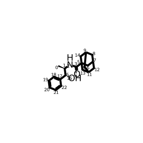 C[C@@H](NC(=O)C12CC3CC(CC(C3)C1)C2)[C@H](O)c1ccccc1